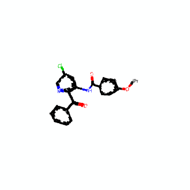 CC(C)Oc1ccc(C(=O)Nc2cc(Cl)cnc2C(=O)c2ccccc2)cc1